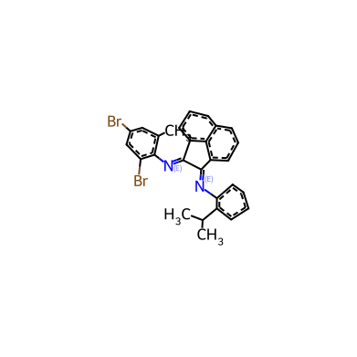 Cc1cc(Br)cc(Br)c1/N=C1/C(=N/c2ccccc2C(C)C)c2cccc3cccc1c23